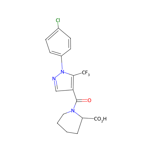 O=C(O)C1CCCCN1C(=O)c1cnn(-c2ccc(Cl)cc2)c1C(F)(F)F